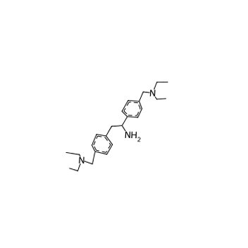 CCN(CC)Cc1ccc(CC(N)c2ccc(CN(CC)CC)cc2)cc1